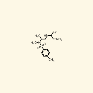 Cc1ccc(S(=O)(=O)N(C)C(C)CNC(CN)C(C)C)cc1